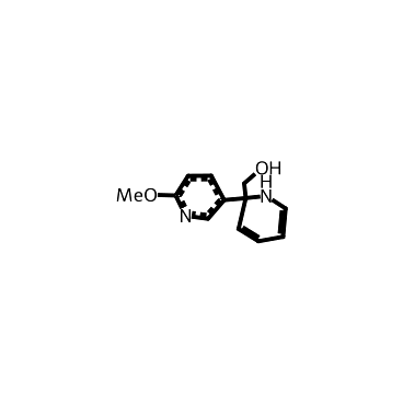 COc1ccc(C2(CO)C=CC=CN2)cn1